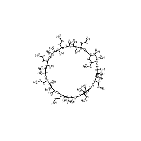 O/C1=C(\O)C(CCS)OC(O)/C(O)=C(\O)C(CCS)OC(O)/C(O)=C(\O)C(CCS)OC(O)/C(O)=C(\O)C(CCS)OC(O)/C(O)=C(\O)C(CCS)OC2CC(CS)C(OC(O)/C(O)=C(/O)C(CCS)OC3OC(CS)C(OC1O)C(O)C3O)C(O)C2O